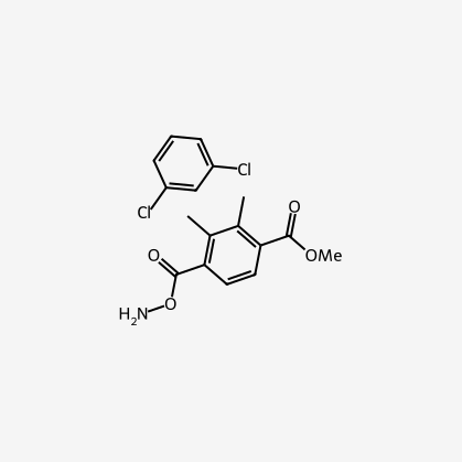 COC(=O)c1ccc(C(=O)ON)c(C)c1C.Clc1cccc(Cl)c1